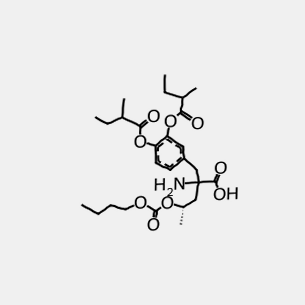 CCCCOC(=O)O[C@@H](C)CC(N)(Cc1ccc(OC(=O)C(C)CC)c(OC(=O)C(C)CC)c1)C(=O)O